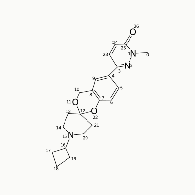 Cn1nc(-c2ccc3c(c2)COC2(CCN(C4CCC4)CC2)O3)ccc1=O